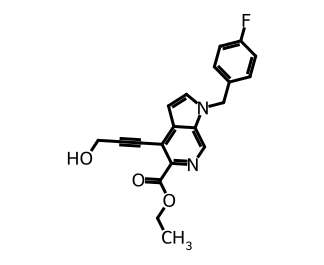 CCOC(=O)c1ncc2c(ccn2Cc2ccc(F)cc2)c1C#CCO